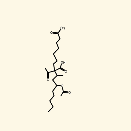 CCCCCC(CC(C)C(CCCCCCC(=O)O)(C(C)=O)C(=O)O)OC(C)=O